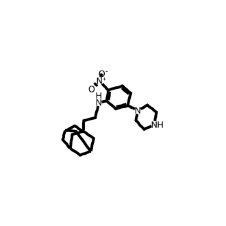 O=[N+]([O-])c1ccc(N2CCNCC2)cc1NCCC12CC3CC(CC(C3)C1)C2